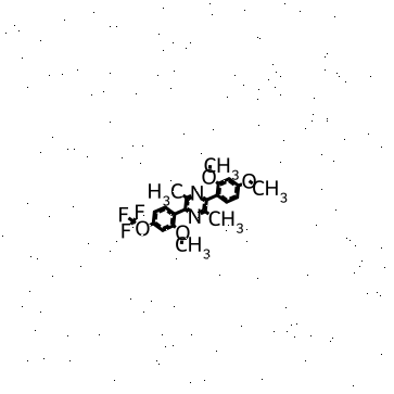 COc1ccc(-c2nc(C)c(-c3ccc(OC(F)(F)F)cc3OC)nc2C)c(OC)c1